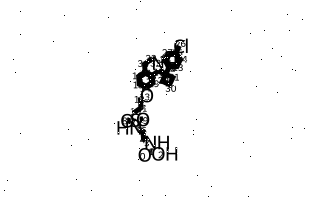 O=C(O)NCCNS(=O)(=O)CCCOc1ccc2c(c1)C(C1(c3ccc(Cl)cc3)CCC1)NCC2